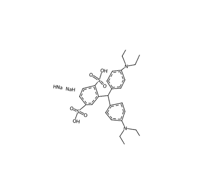 CCN(CC)c1ccc(C(c2ccc(N(CC)CC)cc2)c2cc(S(=O)(=O)O)ccc2S(=O)(=O)O)cc1.[NaH].[NaH]